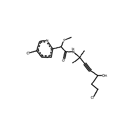 CSC(C(=O)NC(C)(C)C#CC(O)CCCl)c1ccc(Cl)cn1